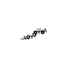 C[S+]([O-])c1cccc(NC(=O)Nc2ccc3c(c2)CCN(C(=O)O[C@H]2CC[C@H](CC(=O)O)CC2)C3)c1